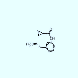 C=CCc1ccccc1.O=C(O)C1CC1